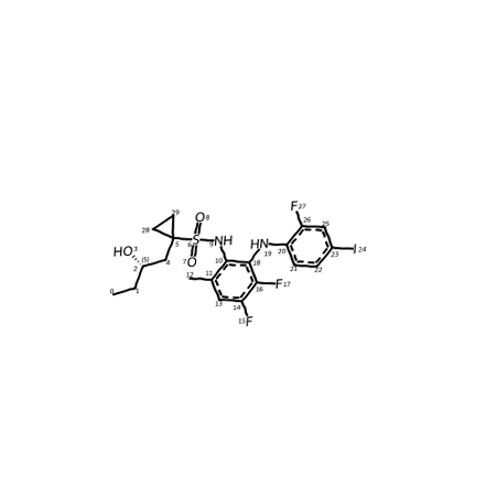 CC[C@H](O)CC1(S(=O)(=O)Nc2c(C)cc(F)c(F)c2Nc2ccc(I)cc2F)CC1